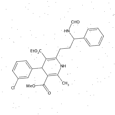 CCOC(=O)C1=C(CCC(NC=O)c2ccccc2)NC(C)=C(C(=O)OC)C1c1cccc(Cl)c1